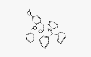 COc1ccc(C2C(=O)N(C(c3ccccc3)c3ccccc3)c3ccccc32)c(OCc2ccccc2)c1